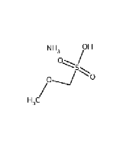 COCS(=O)(=O)O.N